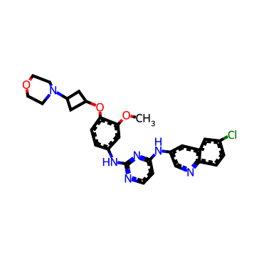 COc1cc(Nc2nccc(Nc3cnc4ccc(Cl)cc4c3)n2)ccc1OC1CC(N2CCOCC2)C1